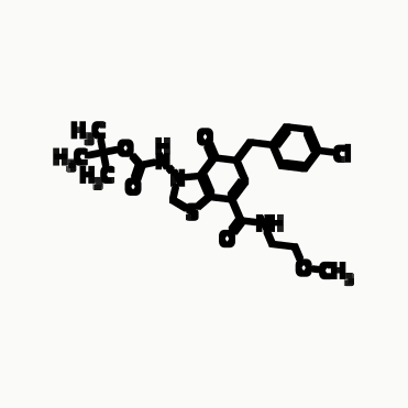 COCCNC(=O)C1=CC(Cc2ccc(Cl)cc2)C(=O)C2=C1SCN2NC(=O)OC(C)(C)C